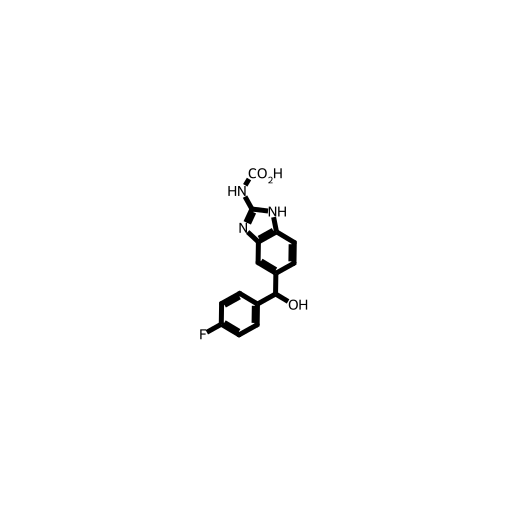 O=C(O)Nc1nc2cc(C(O)c3ccc(F)cc3)ccc2[nH]1